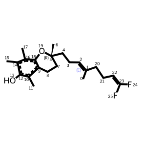 C/C(=C\CC[C@]1(C)CCc2c(C)c(O)c(C)c(C)c2O1)CCC=C(F)F